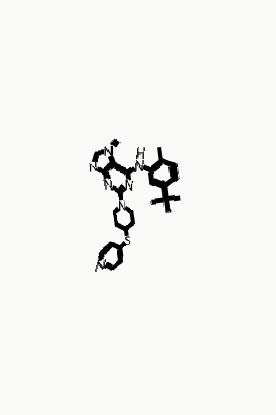 Cc1ccc(C(C)(C)C)cc1Nc1nc(N2CCC(Sc3ccncc3)CC2)nc2ncn(C)c12